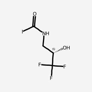 O=C(I)NC[C@H](O)C(F)(F)F